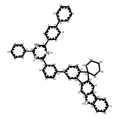 c1ccc(-c2ccc(-c3nc(-c4ccccc4)nc(-c4cccc(-c5ccc6c(c5)-c5cc7oc8ccccc8c7cc5C65CCCCC5)c4)n3)cc2)cc1